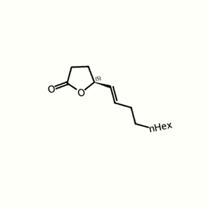 CCCCCCCCC=C[C@@H]1CCC(=O)O1